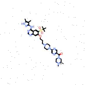 Cc1[nH]nc(Nc2ncnc3cc(OCCCN4CCN(c5cnc(C(=O)N6CCN(C)[C@H](C)C6)cn5)CC4)c(S(=O)(=O)C(C)(C)C)cc23)c1C